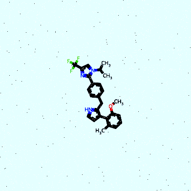 COc1cccc(C)c1-c1cc[nH]c1Cc1ccc(-c2nc(C(F)(F)F)cn2C(C)C)cc1